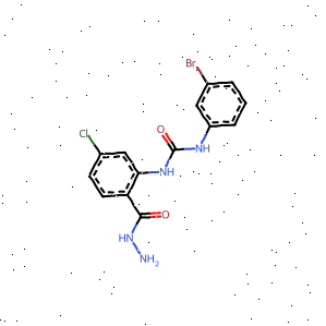 NNC(=O)c1ccc(Cl)cc1NC(=O)Nc1cccc(Br)c1